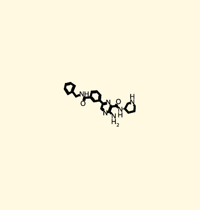 Nc1ncc(-c2cccc(C(=O)NCc3ccccc3)c2)nc1C(=O)N[C@H]1CCCNC1